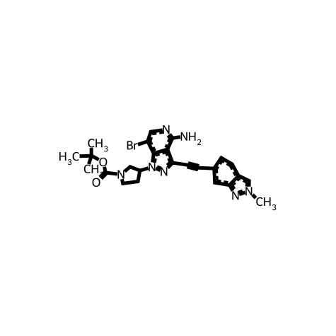 Cn1cc2ccc(C#Cc3nn(C4CCN(C(=O)OC(C)(C)C)C4)c4c(Br)cnc(N)c34)cc2n1